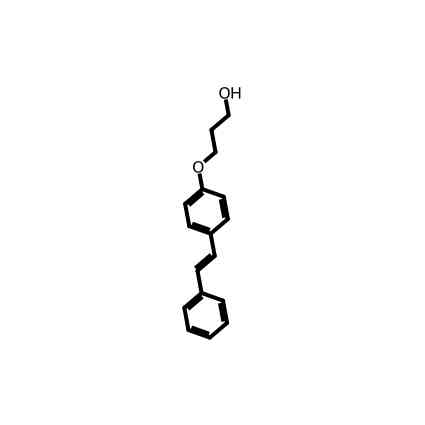 OCCCOc1ccc(C=Cc2ccccc2)cc1